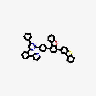 c1ccc(-c2cc(-c3ccccc3-c3cccnc3)nc(-c3ccc(-c4ccc(-c5ccc6sc7ccccc7c6c5)c5oc6ccccc6c45)cc3)n2)cc1